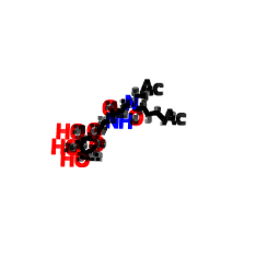 CC(=O)CCCCC(=O)N(CCC(C)=O)CCC(=O)NCCO[C@@H]1O[C@@H](C)[C@@H](O)[C@@H](O)[C@@H]1O